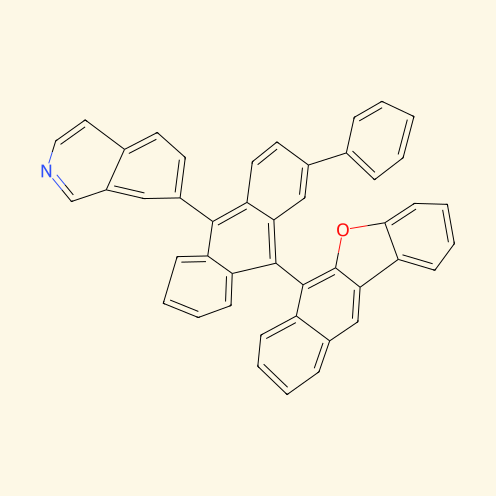 c1ccc(-c2ccc3c(-c4ccc5ccncc5c4)c4ccccc4c(-c4c5ccccc5cc5c4oc4ccccc45)c3c2)cc1